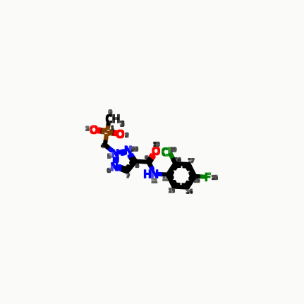 CS(=O)(=O)Cn1ncc(C(=O)Nc2ccc(F)cc2Cl)n1